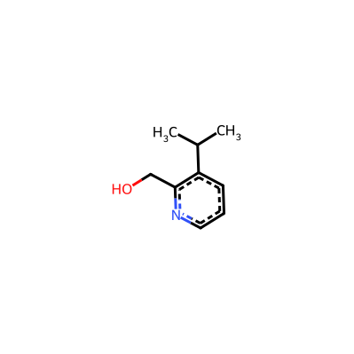 CC(C)c1cccnc1CO